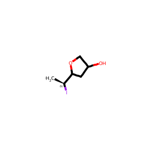 [CH2][C@H](I)C1CC(O)CO1